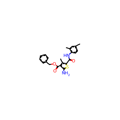 Cc1ccc(NC(=O)c2sc(N)c(C(=O)OCc3ccccc3)c2C)c(C)c1